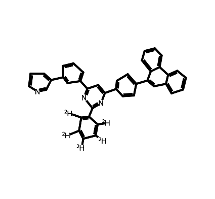 [2H]c1c([2H])c([2H])c(-c2nc(-c3ccc(-c4cc5ccccc5c5ccccc45)cc3)cc(-c3cccc(-c4cccnc4)c3)n2)c([2H])c1[2H]